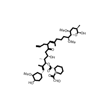 C=CCC(/C=C(\C)CCC[C@H](OC)[C@H]1O[C@H](O)[C@H](C)C[C@@H]1OC)C(=O)C[C@H](O)[C@@H](C)[C@H](OC(=O)[C@@H]1CCCCN1C(=O)C=O)/C(C)=C/[C@@H]1CC[C@@H](O)[C@H](OC)C1